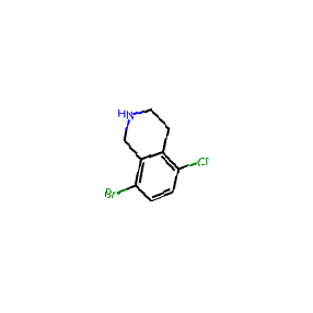 Clc1ccc(Br)c2c1CCNC2